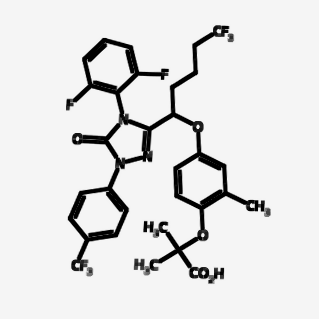 Cc1cc(OC(CCCC(F)(F)F)c2nn(-c3ccc(C(F)(F)F)cc3)c(=O)n2-c2c(F)cccc2F)ccc1OC(C)(C)C(=O)O